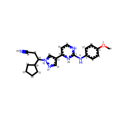 COc1ccc(Nc2nccc(-c3cnn(C(CC#N)C4CCCC4)c3)n2)cc1